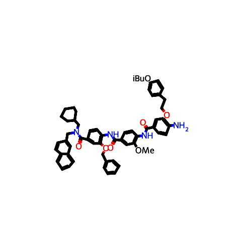 COc1cc(C(=O)Nc2ccc(C(=O)N(Cc3ccc4ccccc4c3)CC3CCCCC3)cc2OCc2ccccc2)ccc1NC(=O)c1ccc(N)c(OCCc2ccc(OCC(C)C)cc2)c1